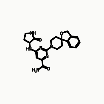 NC(=O)c1cc(NC2CCNC2=O)nc(N2CCC3(CC2)OCc2ccccc23)n1